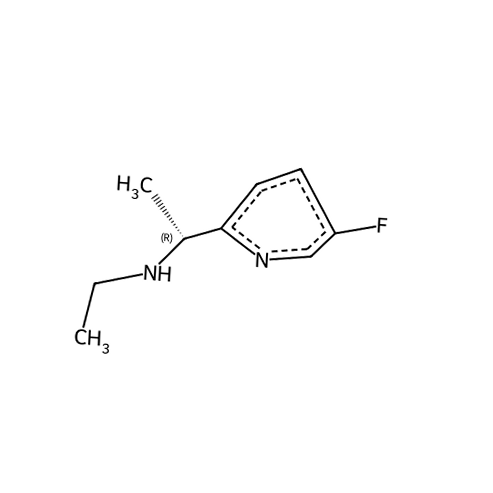 CCN[C@H](C)c1ccc(F)cn1